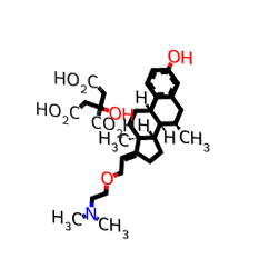 C[C@@H]1Cc2cc(O)ccc2[C@H]2CC[C@]3(C)C(=CCOCCN(C)C)CC[C@H]3[C@H]12.O=C(O)CC(O)(CC(=O)O)C(=O)O